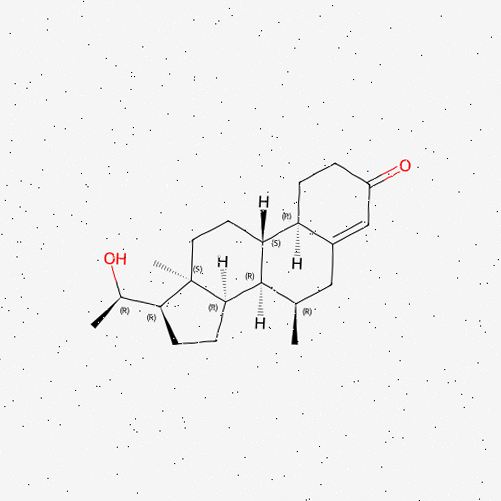 C[C@@H]1CC2=CC(=O)CC[C@@H]2[C@H]2CC[C@@]3(C)[C@H](CC[C@H]3[C@@H](C)O)[C@@H]21